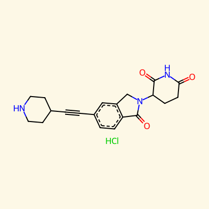 Cl.O=C1CCC(N2Cc3cc(C#CC4CCNCC4)ccc3C2=O)C(=O)N1